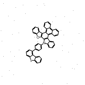 c1ccc2c(c1)oc1c2c2c3ccccc3c3ccccc3c2c2c3ccccc3n(-c3ccc(-c4cccc5sc6ccccc6c45)cc3)c12